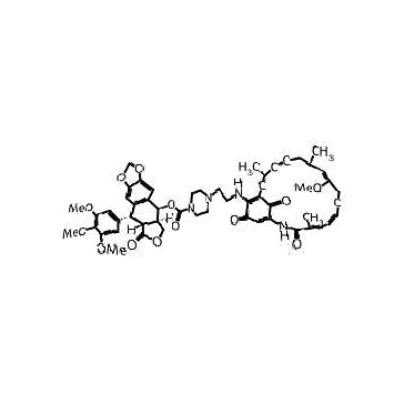 CO/C1=C\[C@H](C)CCC[C@H](C)CC2=C(NCCN3CCN(C(=O)O[C@@H]4c5cc6c(cc5[C@@H](c5cc(OC)c(OC)c(OC)c5)[C@H]5C(=O)OC[C@@H]54)OCO6)CC3)C(=O)C=C(NC(=O)/C(C)=C/C=C\CC1)C2=O